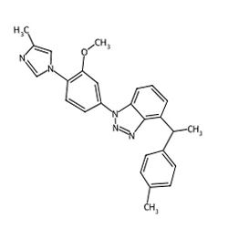 COc1cc(-n2nnc3c(C(C)c4ccc(C)cc4)cccc32)ccc1-n1cnc(C)c1